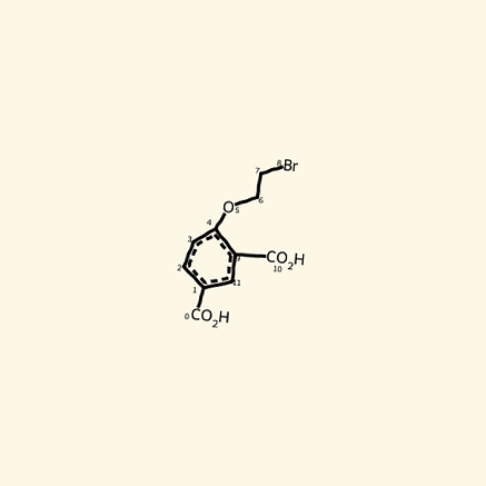 O=C(O)c1ccc(OCCBr)c(C(=O)O)c1